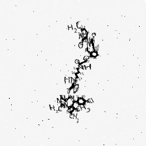 C=C1CCC(N2Cc3c(OCC(=O)NCCCCNC(=O)C[C@@H]4N=C(c5ccc(Cl)cc5)c5c(sc(C)c5C)-n5c(C)nnc54)cccc3C2=O)C(=O)N1